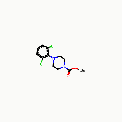 CC(C)(C)OC(=O)N1CCN(c2c(Cl)cccc2Cl)CC1